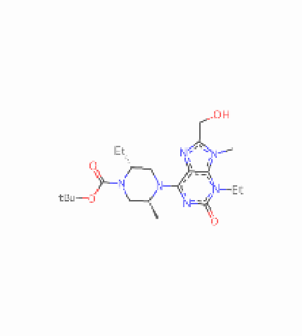 CC[C@@H]1CN(c2nc(=O)n(CC)c3c2nc(CO)n3C)[C@@H](C)CN1C(=O)OC(C)(C)C